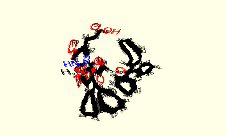 CS(=O)(=O)O[C@@H]1[C@H](OC(c2ccccc2)(c2ccccc2)c2ccccc2)[C@@H](COC(c2ccccc2)(c2ccccc2)c2ccccc2)O[C@H]1n1cc(C=CC(=O)O)c(=O)[nH]c1=O